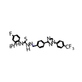 CC(C)c1cc(F)ccc1NC(=S)N/N=C/c1ccc(-c2ncn(-c3ccc(C(F)(F)F)cc3)n2)cc1